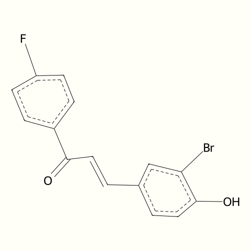 O=C(/C=C/c1ccc(O)c(Br)c1)c1ccc(F)cc1